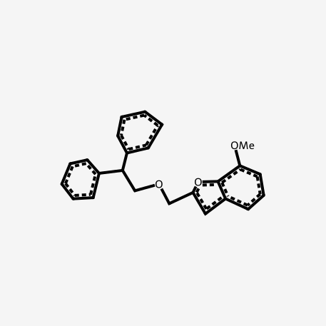 COc1cccc2cc(COCC(c3ccccc3)c3ccccc3)oc12